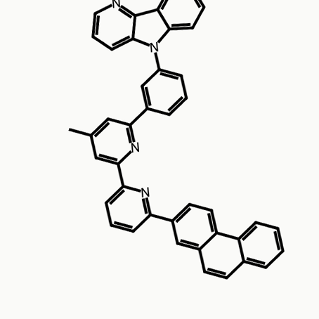 Cc1cc(-c2cccc(-n3c4ccccc4c4ncccc43)c2)nc(-c2cccc(-c3ccc4c(ccc5ccccc54)c3)n2)c1